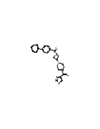 O=C(c1ccc(-c2ccccc2)cc1)N1CC(N2CCN(C(=O)c3csnn3)CC2)C1